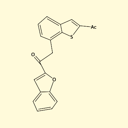 CC(=O)c1cc2cccc(CC(=O)c3cc4ccccc4o3)c2s1